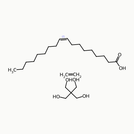 C=C.CCCCCCCC/C=C\CCCCCCCC(=O)O.OCC(CO)(CO)CO